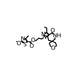 CCc1nn(CCCOC(=O)c2sc(OC)nc2C)c2c1C(=O)NCC1(CCOCC1)C2